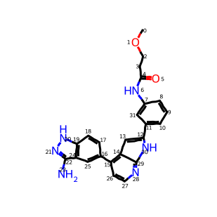 COCCC(=O)Nc1cccc(-c2cc3c(-c4ccc5[nH]nc(N)c5c4)ccnc3[nH]2)c1